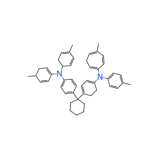 CC1=CCC=C(N(C2=CC=C(C3(c4ccc(N(C5=CCC(C)C=C5)C5C=CC(C)=CC5)cc4)CCCCC3)CC2)c2ccc(C)cc2)C=C1